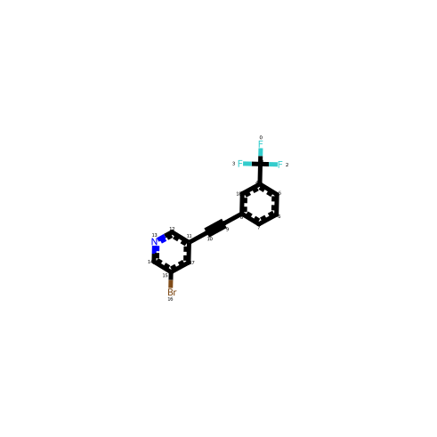 FC(F)(F)c1cccc(C#Cc2cncc(Br)c2)c1